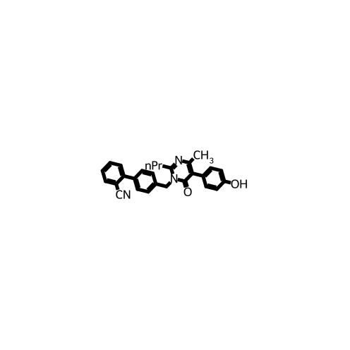 CCCc1nc(C)c(-c2ccc(O)cc2)c(=O)n1Cc1ccc(-c2ccccc2C#N)cc1